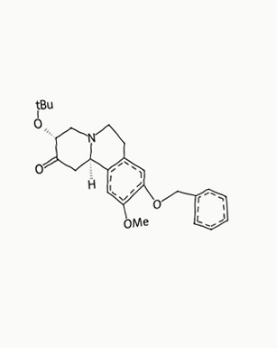 COc1cc2c(cc1OCc1ccccc1)CCN1C[C@@H](OC(C)(C)C)C(=O)C[C@H]21